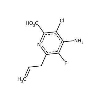 C=CCc1nc(C(=O)O)c(Cl)c(N)c1F